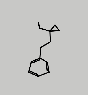 ICC1(CCc2ccccc2)CC1